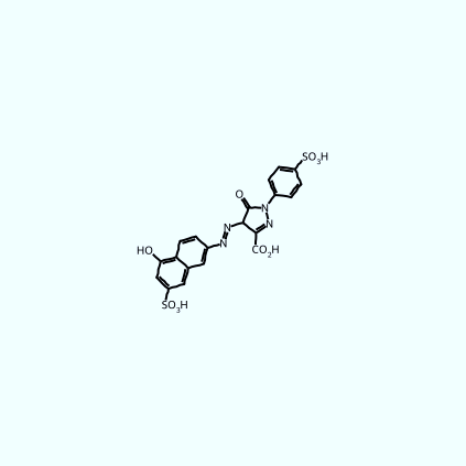 O=C(O)C1=NN(c2ccc(S(=O)(=O)O)cc2)C(=O)C1/N=N/c1ccc2c(O)cc(S(=O)(=O)O)cc2c1